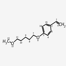 C=Cc1ccc(OCCCCCOC)cc1